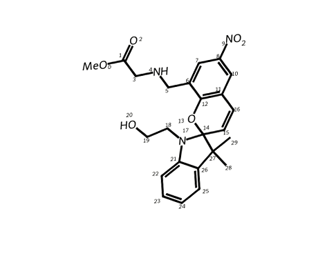 COC(=O)CNCc1cc([N+](=O)[O-])cc2c1OC1(C=C2)N(CCO)c2ccccc2C1(C)C